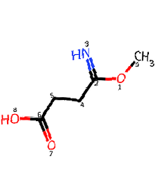 COC(=N)CCC(=O)O